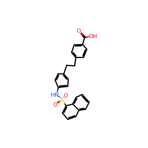 O=C(O)c1ccc(CCc2ccc(NS(=O)(=O)c3cccc4ccccc34)cc2)cc1